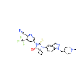 CN1CCC(Cn2ncc3cc(N4C(=S)N(c5cnc(C#N)c(C(F)(F)F)c5)C(=O)C45CCC5)ccc32)CC1